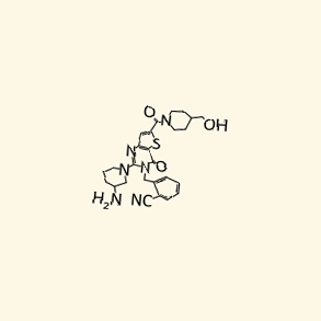 N#Cc1ccccc1Cn1c(N2CCCC(N)C2)nc2cc(C(=O)N3CCC(CO)CC3)sc2c1=O